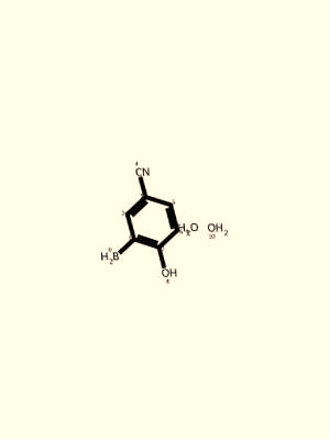 Bc1cc(C#N)ccc1O.O.O